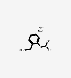 CCCCCCCCCc1ccccc1OP([O-])[O-].[Na+].[Na+]